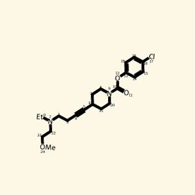 CCN(CCC#CC1CCN(C(=O)Oc2ccc(Cl)cc2)CC1)CCOC